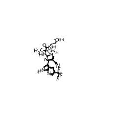 CC(C)(Nc1ncc(C#N)c(-c2c[nH]c3ncc(C(F)(F)F)cc23)n1)C(=O)NCCO